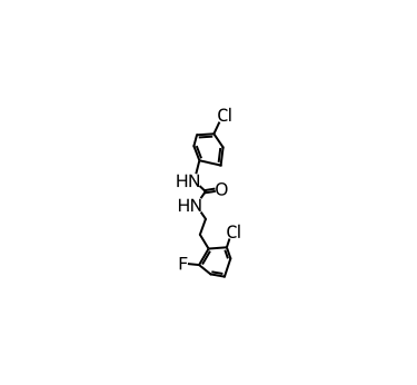 O=C(NCCc1c(F)cccc1Cl)Nc1ccc(Cl)cc1